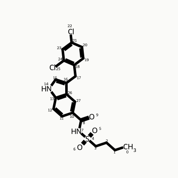 CCCCS(=O)(=O)NC(=O)c1ccc2[nH]cc(Cc3ccc(Cl)cc3Cl)c2c1